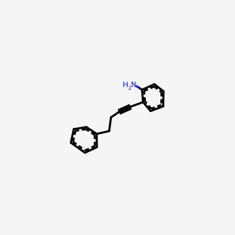 Nc1ccccc1C#CCCc1ccccc1